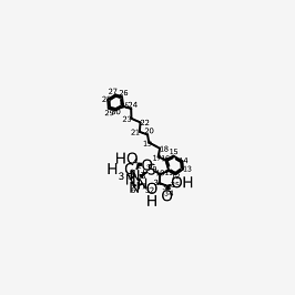 C[N+]1(C(=O)O)N=NN=C1SC(c1ccccc1CCCCCCCCc1ccccc1)C(O)C(=O)O